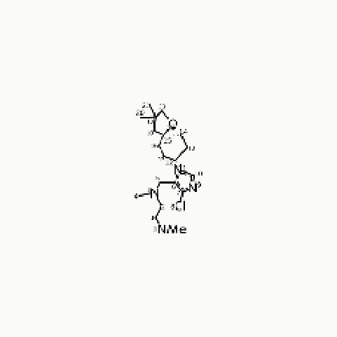 CNCCN(C)Cc1c(Cl)ncn1[C@H]1CC[C@]2(CC1)CC(C)(C)CO2